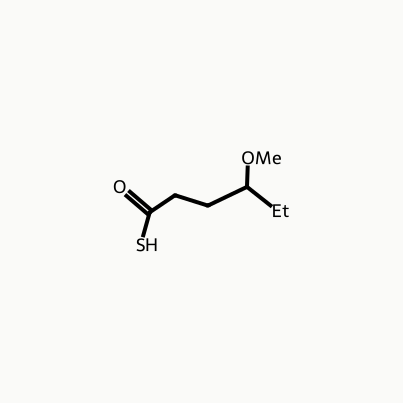 [CH2]CC(CCC(=O)S)OC